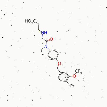 CC(C)c1ccc(COc2ccc3c(c2)CCN3C(=O)CNCCC(=O)O)cc1OC(F)(F)F